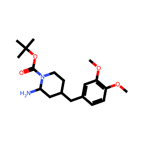 COc1ccc(CC2CCN(C(=O)OC(C)(C)C)C(N)C2)cc1OC